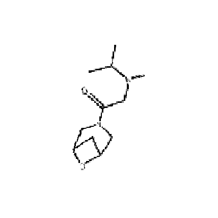 CC(C)N(C)CC(=O)N1CC2CC(C1)O2